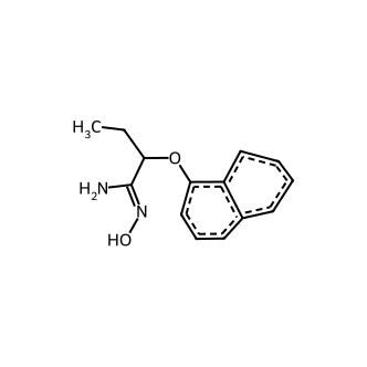 CCC(Oc1cccc2ccccc12)C(N)=NO